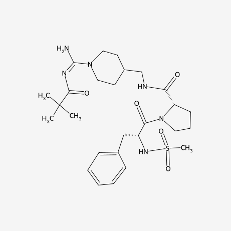 CC(C)(C)C(=O)/N=C(/N)N1CCC(CNC(=O)[C@@H]2CCCN2C(=O)[C@@H](Cc2ccccc2)NS(C)(=O)=O)CC1